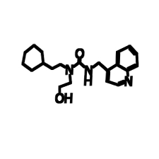 O=C(NCc1ccnc2ccccc12)N(CCO)CCC1CCCCC1